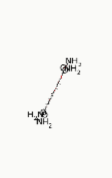 CC(/C=C/C=C(C)/C=C/C=C(\C)CC/C=C(\C)COC(=O)C(N)CCCCN)=C\C=C\C=C(C)\C=C\C=C(C)\C=C\C=C(/C)CC/C=C(\C)COC(=O)C(N)CCCCN